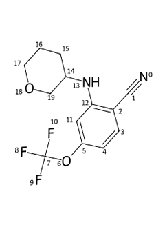 N#Cc1ccc(OC(F)(F)F)cc1NC1CCCOC1